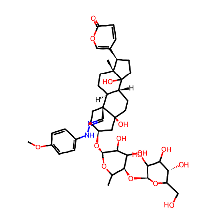 COc1ccc(N/N=C/[C@]23CC[C@H](O[C@@H]4OC(C)[C@H](O[C@@H]5OC(CO)[C@@H](O)C(O)C5O)C(O)C4O)C[C@@]2(O)CC[C@@H]2[C@@H]3CC[C@]3(C)[C@@H](c4ccc(=O)oc4)CCC23O)cc1